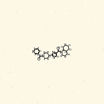 O=C(c1cccnc1)N1CCC(c2nc(C(=O)N3CCCC4CCCCC43)cs2)CC1